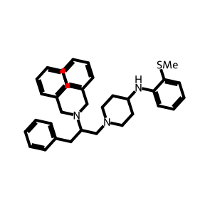 CSc1ccccc1NC1CCN(CC(Cc2ccccc2)N(Cc2ccccc2)Cc2ccccc2)CC1